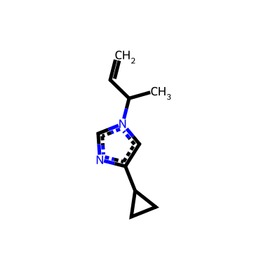 C=CC(C)n1cnc(C2CC2)c1